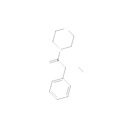 CO[C@@H](C(=O)N1CCOC[C@H]1C)c1ccccc1